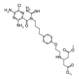 COC(=O)CC(CC(=O)OC)NCCOc1ccc(CCCCN(C(=N)N)C(=O)c2nc(Cl)c(N)nc2N)cc1